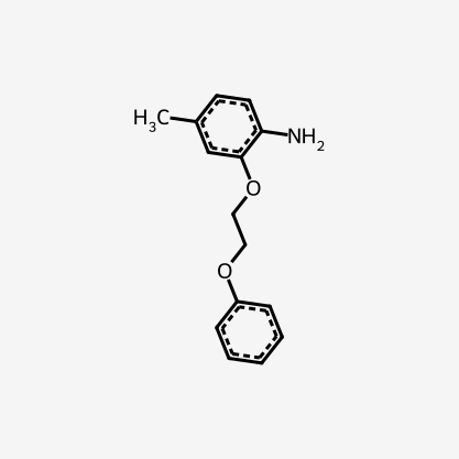 Cc1ccc(N)c(OCCOc2ccccc2)c1